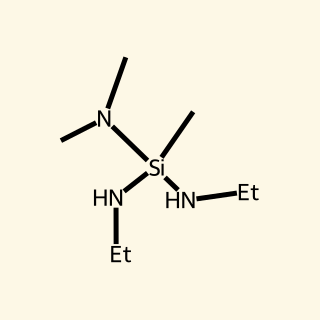 CCN[Si](C)(NCC)N(C)C